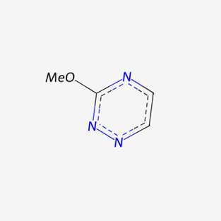 COc1nccnn1